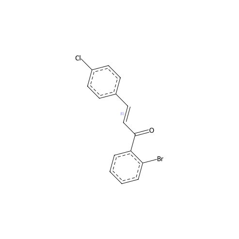 O=C(/C=C/c1ccc(Cl)cc1)c1ccccc1Br